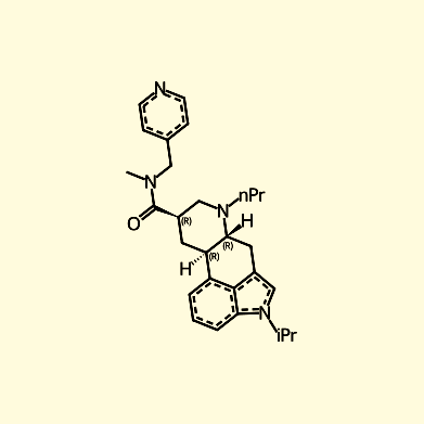 CCCN1C[C@H](C(=O)N(C)Cc2ccncc2)C[C@@H]2c3cccc4c3c(cn4C(C)C)C[C@H]21